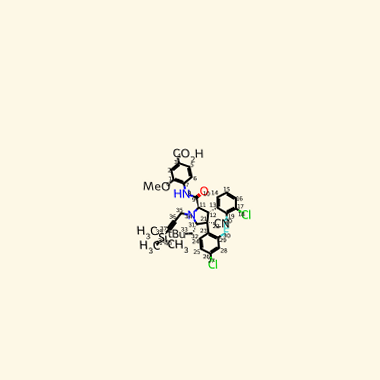 COc1cc(C(=O)O)ccc1NC(=O)[C@H]1[C@H](c2cccc(Cl)c2F)[C@@](C#N)(c2ccc(Cl)cc2F)[C@H](CC(C)(C)C)N1CC#C[Si](C)(C)C